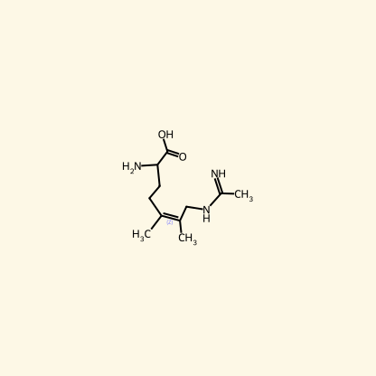 CC(=N)NC/C(C)=C(/C)CCC(N)C(=O)O